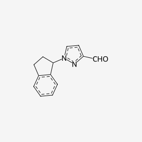 O=Cc1ccn(C2CCc3ccccc32)n1